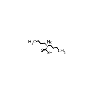 CCCCN(CCCC)C(=S)S.[Na]